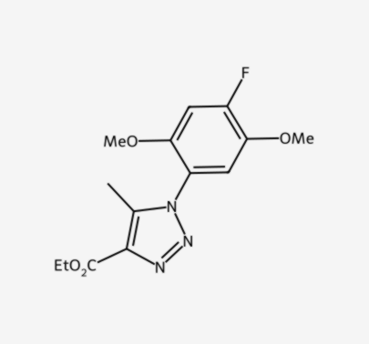 CCOC(=O)c1nnn(-c2cc(OC)c(F)cc2OC)c1C